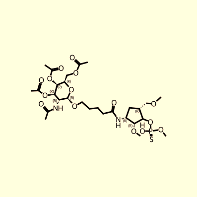 COC[C@H]1C[C@@H](NC(=O)CCCCO[C@@H]2O[C@H](COC(C)=O)[C@H](OC(C)=O)[C@H](OC(C)=O)[C@H]2NC(C)=O)[C@@H](OC)C1OP(O)(=S)OC